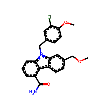 COCc1c[c]c2c3c(C(N)=O)cccc3n(Cc3ccc(OC)c(Cl)c3)c2c1